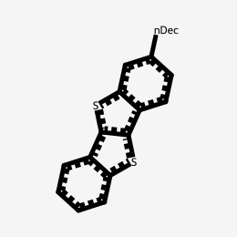 CCCCCCCCCCc1ccc2c(c1)sc1c3ccccc3sc21